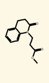 COC(=O)CCN1C(=O)CCc2cc[c]cc21